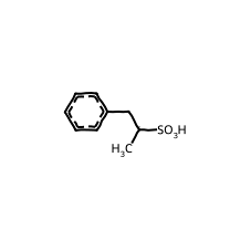 C[C](Cc1ccccc1)S(=O)(=O)O